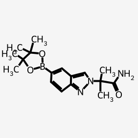 CC(C)(C(N)=O)n1cc2cc(B3OC(C)(C)C(C)(C)O3)ccc2n1